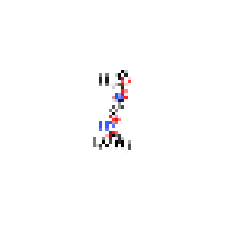 Cc1ccccc1OCCCC(=O)N1CCCc2c(-c3cccc(COC(=O)NCCC(=O)OC(C)(C)C)c3)cccc21